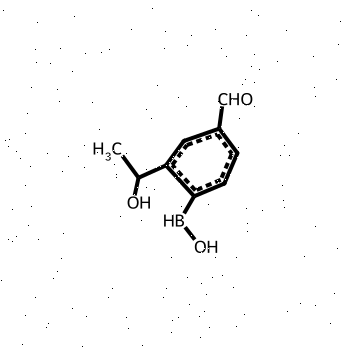 CC(O)c1cc(C=O)ccc1BO